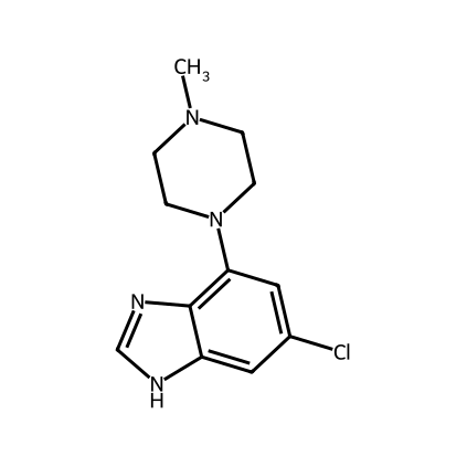 CN1CCN(c2cc(Cl)cc3[nH]cnc23)CC1